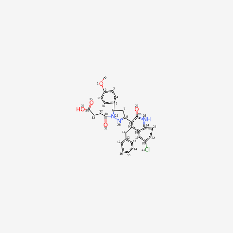 COc1ccc(C2CC(c3c(Cc4ccccc4)c4cc(Cl)ccc4[nH]c3=O)=NN2C(=O)CCC(=O)O)cc1